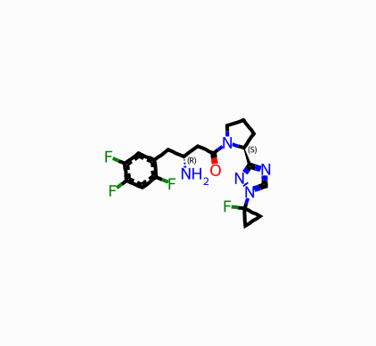 N[C@@H](CC(=O)N1CCC[C@H]1c1ncn(C2(F)CC2)n1)Cc1cc(F)c(F)cc1F